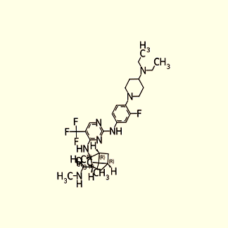 CCN(CC)C1CCN(c2ccc(Nc3ncc(C(F)(F)F)c(N[C@@]4(C)[C@@H](C(=O)NC)C[C@H]5C[C@@H]4C5(C)C)n3)cc2F)CC1